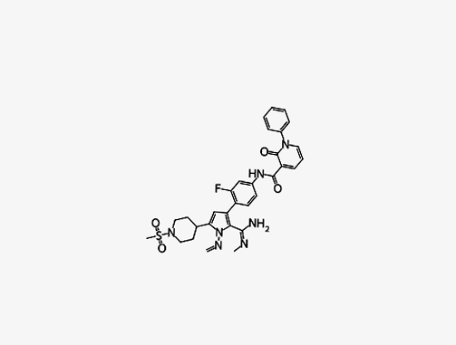 C=Nn1c(C2CCN(S(C)(=O)=O)CC2)cc(-c2ccc(NC(=O)c3cccn(-c4ccccc4)c3=O)cc2F)c1/C(N)=N\C